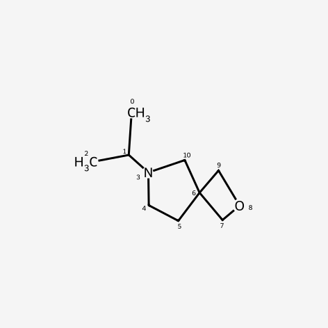 CC(C)N1CCC2(COC2)C1